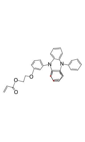 C=CC(=O)OCCOc1cccc(N(c2ccccc2)c2ccccc2N(c2ccccc2)c2ccccc2)c1